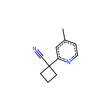 Cc1ccnc(C2(C#N)CCC2)c1